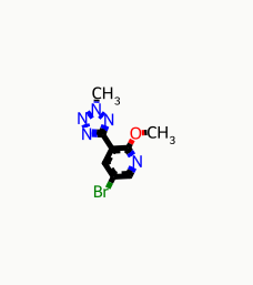 COc1ncc(Br)cc1-c1nnn(C)n1